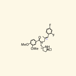 COc1ccc(C(=O)N(C/C(C)=C/c2ccc(F)cc2F)C[C@@H]2CCCN2)cc1OC.Cl